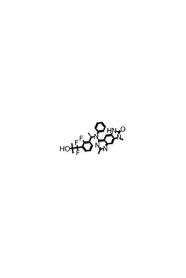 Cc1nc(N(c2ccccc2)[C@H](C)c2cccc(C(F)(F)C(C)(C)O)c2F)c2cc3[nH]c(=O)n(C)c3cc2n1